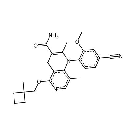 COc1cc(C#N)ccc1N1C(C)=C(C(N)=O)Cc2c(OCC3(C)CCC3)ncc(C)c21